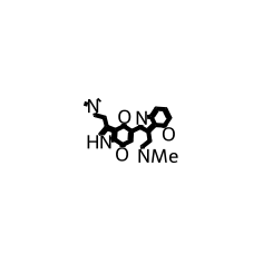 CNCCC1=C2C(=O)C=CC=C2N=C1C1=CC(=O)c2[nH]cc(CCN(C)C)c2C1=O